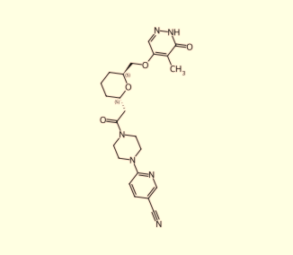 Cc1c(OC[C@@H]2CCC[C@@H](CC(=O)N3CCN(c4ccc(C#N)cn4)CC3)O2)cn[nH]c1=O